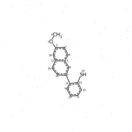 COc1ccc2cc(-c3ccccc3S)ccc2c1